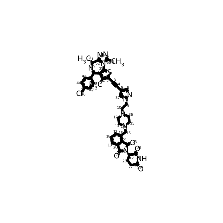 Cc1c(C#Cc2cnn(CCN3CCN(Cc4cccc5c4C(=O)N(C4CCC(=O)NC4=O)C5=O)CC3)c2)sc2c1C(c1ccc(Cl)cc1)=N[C@@H](C)c1nnc(C)n1-2